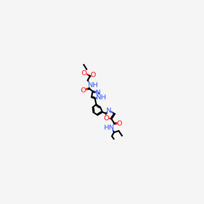 CCOC(=O)CNC(=O)c1cc(-c2cccc(-c3ncc(C(=O)NC(CC)CC)o3)c2)[nH]n1